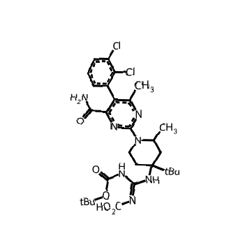 Cc1nc(N2CCC(NC(=NC(=O)O)NC(=O)OC(C)(C)C)(C(C)(C)C)CC2C)nc(C(N)=O)c1-c1cccc(Cl)c1Cl